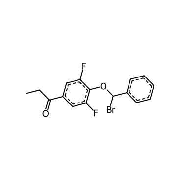 CCC(=O)c1cc(F)c(OC(Br)c2ccccc2)c(F)c1